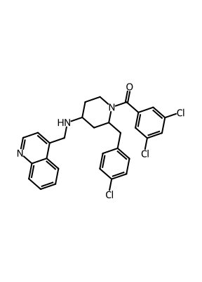 O=C(c1cc(Cl)cc(Cl)c1)N1CCC(NCc2ccnc3ccccc23)CC1Cc1ccc(Cl)cc1